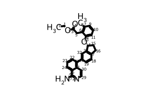 CCOC(=O)Cc1c(C)cccc1O[C@@H]1CCc2ccc(-c3cccc4c(N)nccc34)cc21